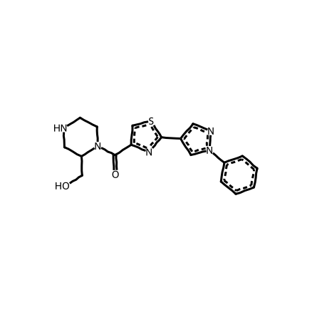 O=C(c1csc(-c2cnn(-c3ccccc3)c2)n1)N1CCNCC1CO